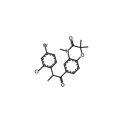 CC(C(=O)c1ccc2c(c1)N(C)C(=O)C(C)(C)O2)c1ccc(Br)cc1Cl